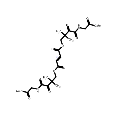 COC(=O)CNC(=O)C(=O)C(C)(C)COC(=O)/C=C/C(=O)OCC(C)(C)C(=O)C(=O)NCC(=O)OC